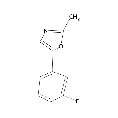 Cc1ncc(-c2cccc(F)c2)o1